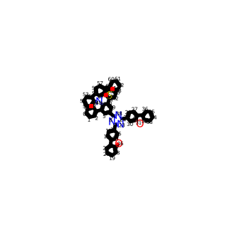 c1ccc(-c2cc(-c3nc(-c4ccc5c(c4)oc4ccccc45)nc(-c4ccc5c(c4)oc4ccccc45)n3)cc(-c3ccccc3)c2-n2c3ccccc3c3ccc4c5ccccc5sc4c32)cc1